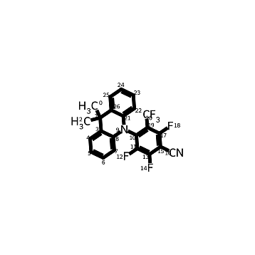 CC1(C)c2ccccc2N(c2c(F)c(F)c(C#N)c(F)c2C(F)(F)F)c2ccccc21